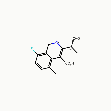 Cc1ccc(F)c2c1C(C(=O)O)=C([C@H](C)C=O)[N]C2